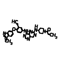 C#Cc1cc(Nc2ncnc3cnc(NC4CCN(C(=O)C=C)CC4)nc23)ccc1Oc1ccc2c(c1)ncn2C